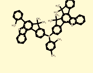 Cc1ccc(N(c2ccc3c(c2)C(C)(C)c2cc(-c4ccccc4C)c4oc5ccccc5c4c2-3)c2ccc3c(c2)C(C)(C)c2c4c(c5c(oc6ccccc65)c2-3)-c2ccccc2C4(C)C)c(C)c1